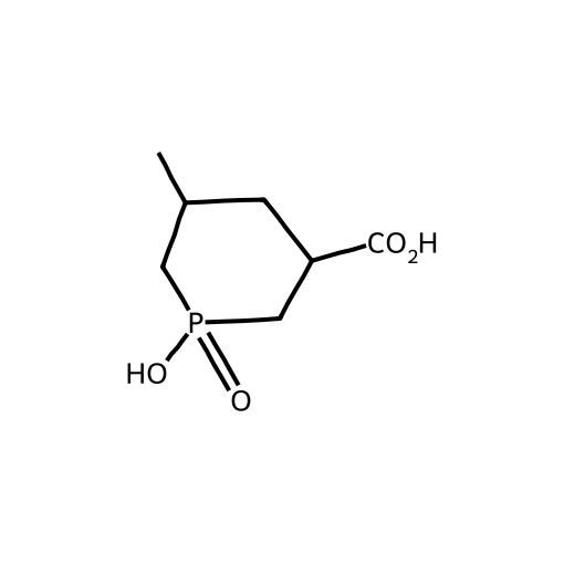 CC1CC(C(=O)O)CP(=O)(O)C1